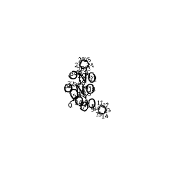 CC1OC(C(C)C(=O)OCc2ccccc2)(N2C(=O)[C@@H](N3C(=O)c4ccccc4C3=O)[C@H]2C=O)O1